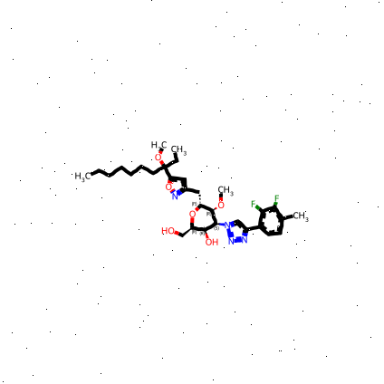 CCCCCCCC(CC)(OC)c1cc(C[C@H]2O[C@H](CO)[C@H](O)[C@H](n3cc(-c4ccc(C)c(F)c4F)nn3)[C@H]2OC)no1